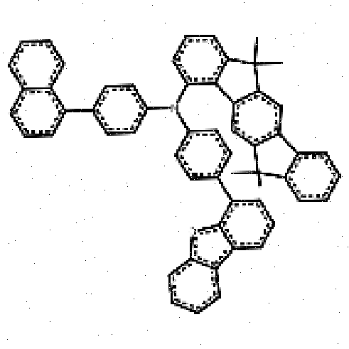 CC1(C)c2ccccc2-c2cc3c(cc21)-c1c(N(c2ccc(-c4cccc5ccccc45)cc2)c2ccc(-c4cccc5c4oc4ccccc45)cc2)cccc1C3(C)C